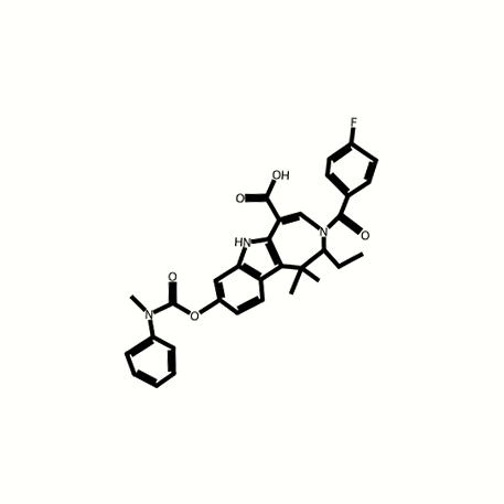 CCC1N(C(=O)c2ccc(F)cc2)C=C(C(=O)O)c2[nH]c3cc(OC(=O)N(C)c4ccccc4)ccc3c2C1(C)C